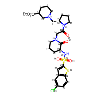 CCOC(=O)C1CCCN(C[C@@H]2CCCN2C(=O)CN2CCC[C@H](NS(=O)(=O)c3cc4cc(Cl)ccc4s3)C2=O)C1